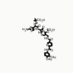 CC(=O)Oc1ccc(NC(=O)c2ccc(C(=O)NCC3=C(OC(=O)O)N4C(=O)C(NC(=O)/C(=N\OC(C)(C)C(=O)O)c5csc(N)n5)[C@@H]4SC3)cn2)cc1OC(C)=O